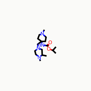 CC(C)OC(=O)NC1(CN2CCN(C)C(C)C2)CCN(C)CC1